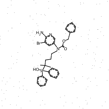 CC(C)(CCCCN(C(=O)OCc1ccccc1)c1cnc(N)c(Br)c1)[Si](O)(c1ccccc1)c1ccccc1